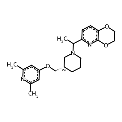 Cc1cc(OC[C@H]2CCCN(C(C)c3ccc4c(n3)OCCO4)C2)cc(C)n1